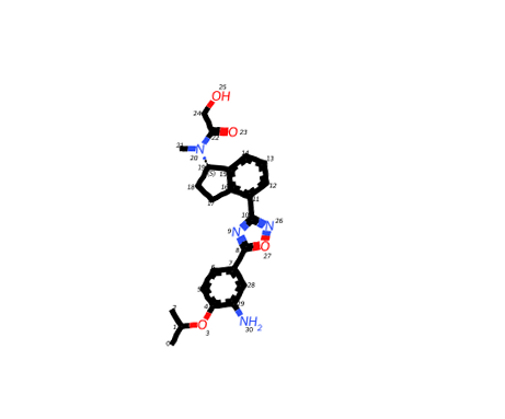 CC(C)Oc1ccc(-c2nc(-c3cccc4c3CC[C@@H]4N(C)C(=O)CO)no2)cc1N